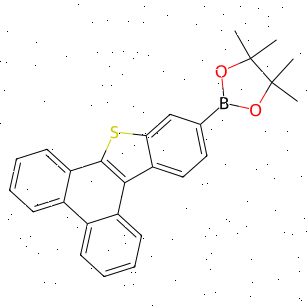 CC1(C)OB(c2ccc3c(c2)sc2c4ccccc4c4ccccc4c32)OC1(C)C